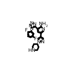 Nc1ncc(-c2cnn(C3CCNCC3)c2)cc1-c1nnnn1-c1cc(F)ccc1F